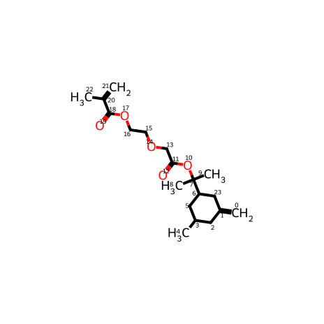 C=C1CC(C)CC(C(C)(C)OC(=O)COCCOC(=O)C(=C)C)C1